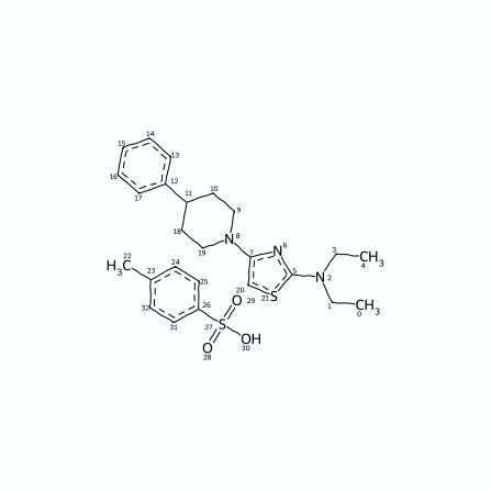 CCN(CC)c1nc(N2CCC(c3ccccc3)CC2)cs1.Cc1ccc(S(=O)(=O)O)cc1